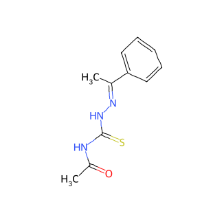 CC(=O)NC(=S)NN=C(C)c1ccccc1